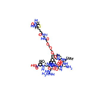 CCC1C=C(C[C@H](NC(=O)[C@H](CCCNC(=N)N)NC(=O)[C@@H](N)CCNc2cc([N+](=O)[O-])cc([N+](=O)O)c2)C(=O)N[C@H](C(=O)N[C@@H](CCN)C(=O)N[C@@H](CCSC)C(=O)N[C@@H](CC(C)C)C(=O)NCCOCCOCCOCCOCCC(=O)NCCNC(=O)CCCC[C@@H]2SC[C@@H]3NC(=O)N[C@@H]32)[C@@H](C)O)c2ccccc2C1